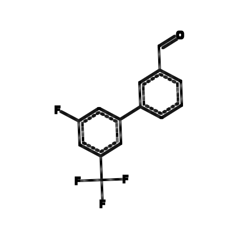 O=Cc1cccc(-c2cc(F)cc(C(F)(F)F)c2)c1